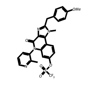 COc1ccc(Cc2nc3c(=O)n(-c4cccnc4C)c4cc(OS(=O)(=O)C(F)(F)F)ccc4c3n2C)cc1